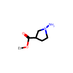 CCOC(=O)C1CCN(N)C1